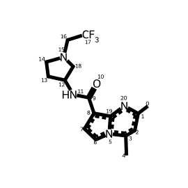 Cc1cc(C)n2ccc(C(=O)NC3CCN(CC(F)(F)F)C3)c2n1